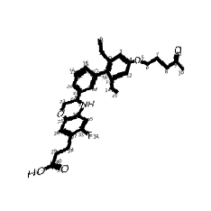 CCc1cc(OCCCC(C)=O)cc(CC)c1-c1cccc(C2COc3cc(CCC(=O)O)c(F)cc3N2)c1